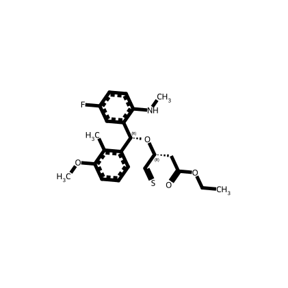 CCOC(=O)C[C@H](C=S)O[C@@H](c1cc(F)ccc1NC)c1cccc(OC)c1C